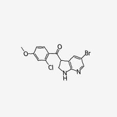 COc1ccc(C(=O)C2CNc3ncc(Br)cc32)c(Cl)c1